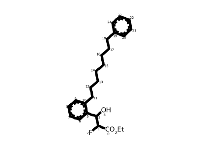 CCOC(=O)C(F)C(O)c1ccccc1CCCCCCCCc1ccccc1